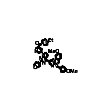 CCN1CCN(C(=O)c2cncc(N3CCc4c(-c5cnc(N(Cc6ccc(OC)cc6)Cc6ccc(OC)cc6)nc5)nc(N5CCOCC5)nc43)c2)CC1